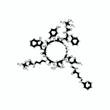 C[C@@H](O)[C@@H]1NC(=O)[C@H](CCCCNC(=O)OC(C)(C)C)NC(=O)[C@@H](Cc2c[nH]c3ccccc23)NC(=O)[C@H](Cc2ccc(O)cc2)NC(=O)[C@@H](NC(=O)[C@@H](Cc2ccccc2)NC(=O)OC(C)(C)C)CSSC[C@@H](C(=O)N[C@@H](CNC(=O)CCSSc2ccccn2)C(N)=O)NC1=O